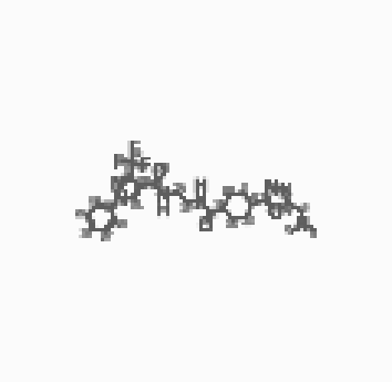 CN(C)Cc1nnc(C2CCC(C(=O)NCCNC(=O)c3cn(-c4ccccc4)nc3C(F)(F)F)CC2)o1